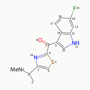 CNC(C)c1csc(C(=O)c2c[nH]c3cc(F)ccc23)n1